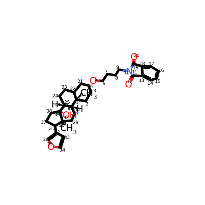 C[C@]12CCC(OCCCCN3C(=O)c4ccccc4C3=O)CC1CC[C@@H]1[C@H]2CC[C@]2(C)C(c3ccoc3)CC[C@@]12O